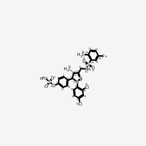 CCCS(=O)(=O)Oc1ccc(C2[C@H](C)C(CNS(=O)(=O)c3cc(F)ccc3C)=NN2c2ccc(Cl)cc2Cl)cc1